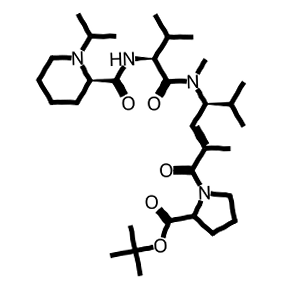 C/C(=C\[C@H](C(C)C)N(C)C(=O)[C@@H](NC(=O)[C@H]1CCCCN1C(C)C)C(C)C)C(=O)N1CCCC1C(=O)OC(C)(C)C